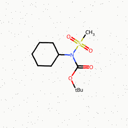 CC(C)(C)OC(=O)N(C1CCCCC1)S(C)(=O)=O